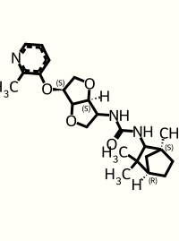 Cc1ncccc1O[C@H]1CO[C@H]2C(NC(=O)NC3C(C)(C)[C@@H]4CC[C@@]3(C)C4)COC21